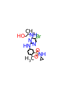 Cc1ccc(Nc2ncc(Br)c(N[C@H](C)CO)n2)cc1S(=O)(=O)NC1CC1